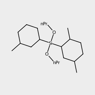 CCCO[Si](OCCC)(C1CCCC(C)C1)C1CC(C)CCC1C